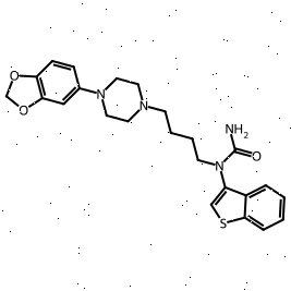 NC(=O)N(CCCCN1CCN(c2ccc3c(c2)OCO3)CC1)c1csc2ccccc12